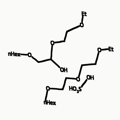 CCCCCCOCC(O)OCCOCC.CCCCCCOCCOCCOCC.O=S(=O)(O)O